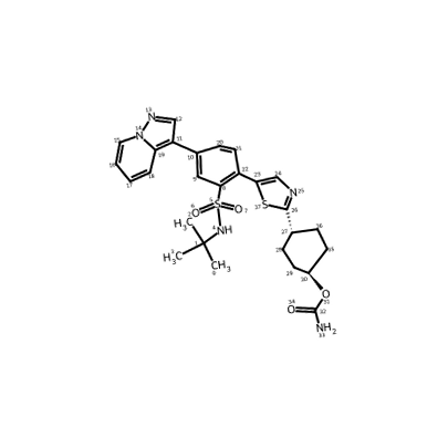 CC(C)(C)NS(=O)(=O)c1cc(-c2cnn3ccccc23)ccc1-c1cnc([C@H]2CC[C@H](OC(N)=O)CC2)s1